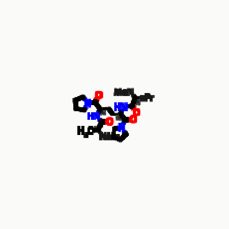 CCC[C@H](NC)C(=O)N[C@@H](CC[C@H](NC(=O)[C@H](C)NC)C(=O)N1CCCC1)C(=O)N1CCCC1